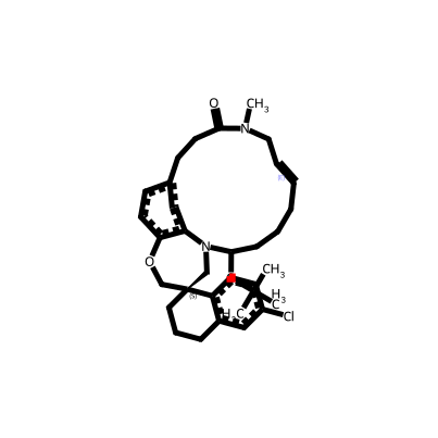 CN1C/C=C/CCCC(OC(C)(C)C)N2C[C@@]3(CCCc4cc(Cl)ccc43)COc3ccc(cc32)CCC1=O